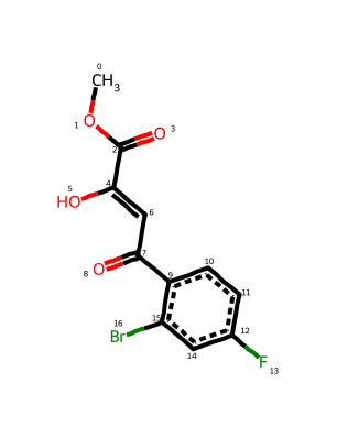 COC(=O)C(O)=CC(=O)c1ccc(F)cc1Br